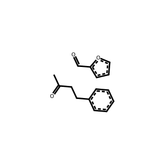 CC(=O)CCc1ccccc1.O=Cc1ccco1